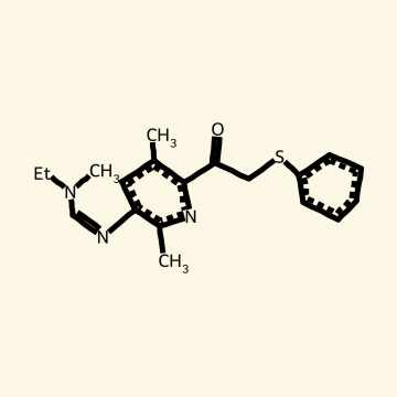 CCN(C)/C=N\c1cc(C)c(C(=O)CSc2ccccc2)nc1C